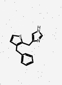 c1ccc(Cc2ccsc2Cc2c[nH]cn2)cc1